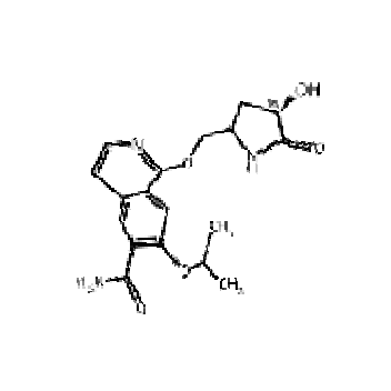 CC(C)Oc1cc2c(OCC3C[C@@H](O)C(=O)N3)nccc2cc1C(N)=O